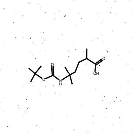 CC(CCC(C)(C)NC(=O)OC(C)(C)C)C(=O)O